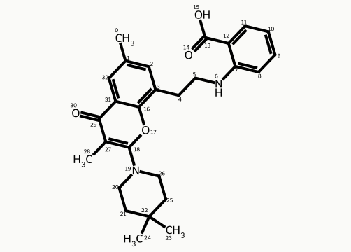 Cc1cc(CCNc2ccccc2C(=O)O)c2oc(N3CCC(C)(C)CC3)c(C)c(=O)c2c1